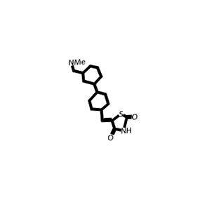 CNCC1CCCC(C2CCC(/C=C3\SC(=O)NC3=O)CC2)C1